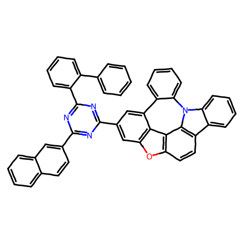 c1ccc(-c2ccccc2-c2nc(-c3ccc4ccccc4c3)nc(-c3cc4oc5ccc6c7ccccc7n7c8ccccc8c(c3)c4c5c67)n2)cc1